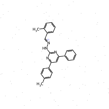 Cc1ccc(-c2cc(-c3ccccc3)nc(N/N=C/c3ccccc3C)n2)cc1